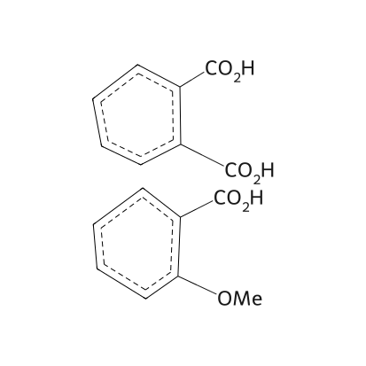 COc1ccccc1C(=O)O.O=C(O)c1ccccc1C(=O)O